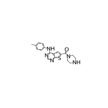 Cc1ccc(Nc2ncnc3sc(C(=O)N4CCNCC4)cc23)cc1